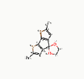 CC(C)c1cc2c(s1)-c1sc(C(C)C)cc1C21OCCO1